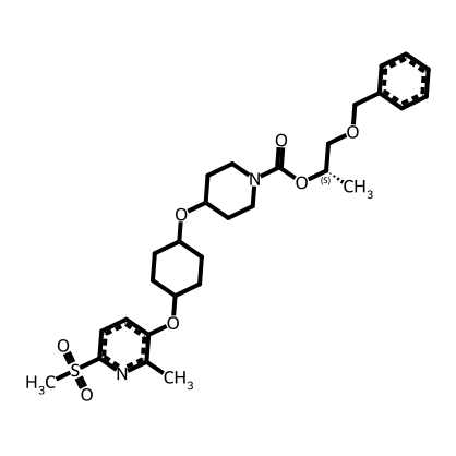 Cc1nc(S(C)(=O)=O)ccc1OC1CCC(OC2CCN(C(=O)O[C@@H](C)COCc3ccccc3)CC2)CC1